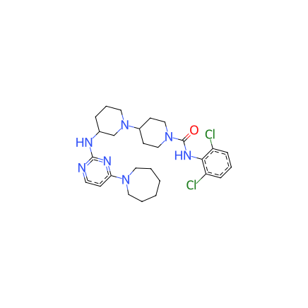 O=C(Nc1c(Cl)cccc1Cl)N1CCC(N2CCCC(Nc3nccc(N4CCCCCC4)n3)C2)CC1